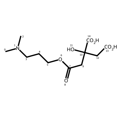 CN(C)CCCOC(=O)CC(O)(CC(=O)O)C(=O)O